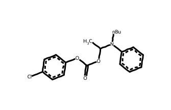 CCCCN(c1ccccc1)C(C)OC(=O)Oc1ccc(Cl)cc1